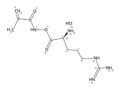 C=C(C)C(=O)NOC(=O)[C@@H](N)CCCNC(=N)N.Cl